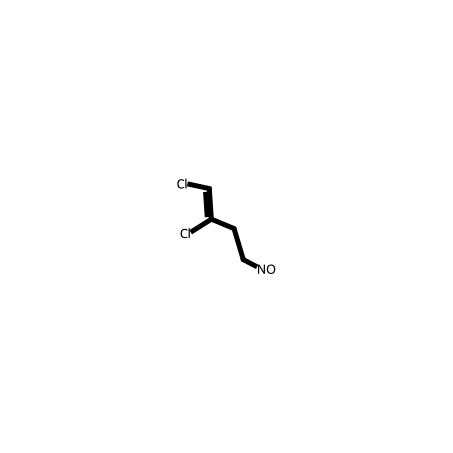 O=NCCC(Cl)=CCl